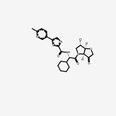 Cc1ccc(-c2cnc(C(=O)N[C@H](C(=O)N3C[C@H](Cl)[C@H]4OCC(=O)[C@H]43)C3CCCCC3)s2)cn1